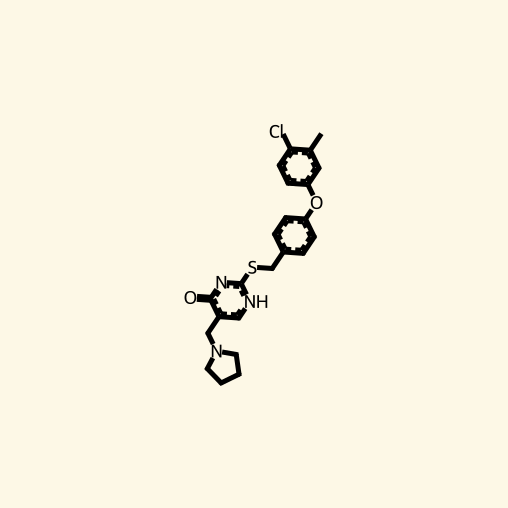 Cc1cc(Oc2ccc(CSc3nc(=O)c(CN4CCCC4)c[nH]3)cc2)ccc1Cl